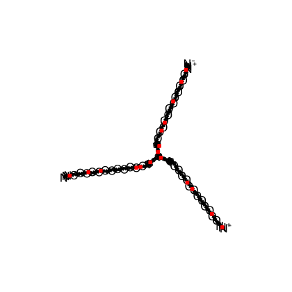 [N-]=[N+]=NCCOCCOCCOCCOCCOCCOCCOCCOCCOCCOCCOCCOCc1ccc(C#Cc2cc(C#Cc3ccc(COCCOCCOCCOCCOCCOCCOCCOCCOCCOCCOCCOCCN=[N+]=[N-])cc3)cc(C#Cc3ccc(COCCOCCOCCOCCOCCOCCOCCOCCOCCOCCOCCOCCN=[N+]=[N-])cc3)c2)cc1